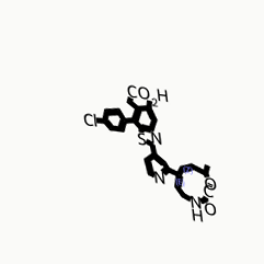 Cc1cc2nc(-c3ccnc(C4=C/CNC(=O)COC(C)/C=C\4)c3)sc2c(-c2ccc(Cl)cc2)c1CC(=O)O